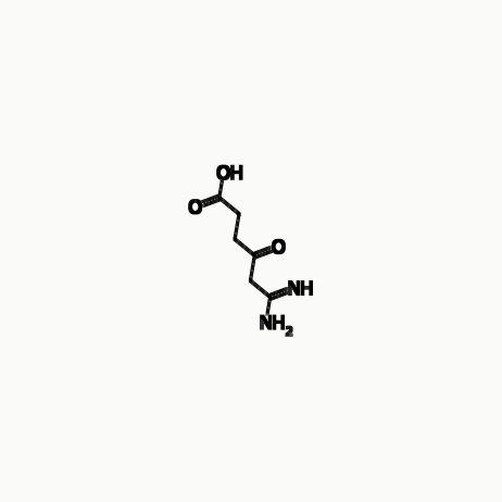 N=C(N)CC(=O)CCC(=O)O